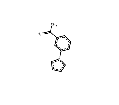 C=C(C)c1cccc(-n2cccc2)c1